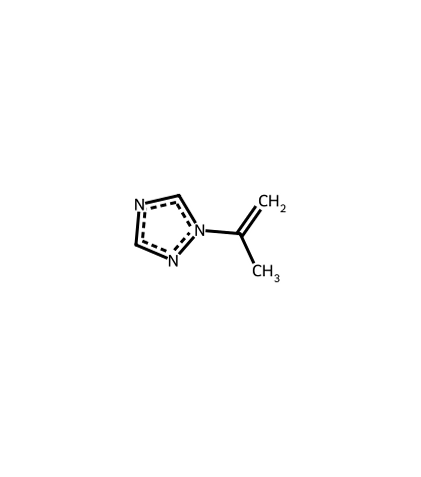 C=C(C)n1cncn1